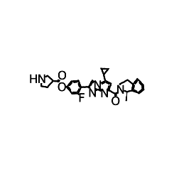 C[C@@H]1c2ccccc2CCN1C(=O)c1cc(C2CC2)n2cc(-c3ccc(OC(=O)C4CCNC4)cc3F)nc2n1